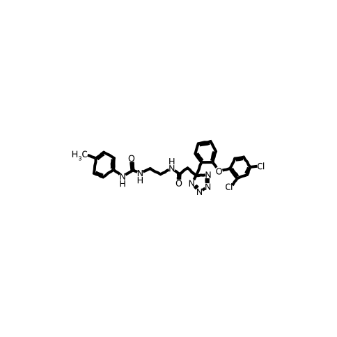 Cc1ccc(NC(=O)NCCNC(=O)CC2(c3ccccc3Oc3ccc(Cl)cc3Cl)N=NN=N2)cc1